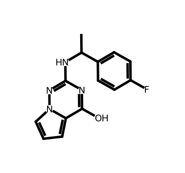 CC(Nc1nc(O)c2cccn2n1)c1ccc(F)cc1